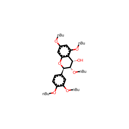 CCCCOc1cc(OCCCC)c2c(c1)O[C@H](c1ccc(OCCCC)c(OCCCC)c1)[C@@H](OCCCC)[C@H]2O